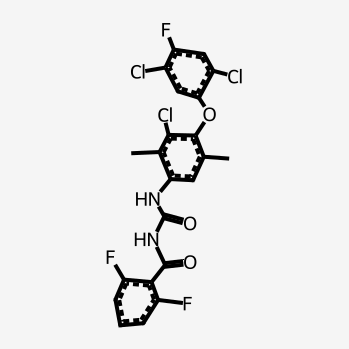 Cc1cc(NC(=O)NC(=O)c2c(F)cccc2F)c(C)c(Cl)c1Oc1cc(Cl)c(F)cc1Cl